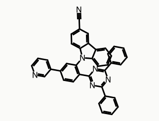 N#Cc1ccc2c(c1)c1ccccc1n2-c1cc(-c2cccnc2)ccc1-c1nc(-c2ccccc2)nc(-c2ccccc2)n1